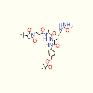 C[C@H](NC(=O)CCN1C(=O)CC(C(C)(C)C)C1=O)C(=O)N[C@@H](CCCNC(N)=O)C(=O)Nc1ccc(COC(=O)C(C)(C)C)cc1